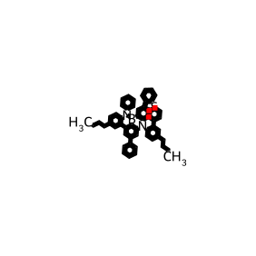 CCCCc1ccc2c(c1)-c1cc(-c3ccccc3)cc3c1B(c1cc4c(cc1N3c1ccc(CCCC)cc1-c1ccccc1)sc1ccccc14)N2c1ccccc1